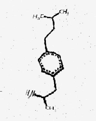 CC(C)CCc1ccc(CC(C)N)cc1